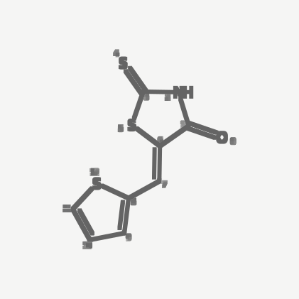 O=C1NC(=S)SC1=Cc1cccs1